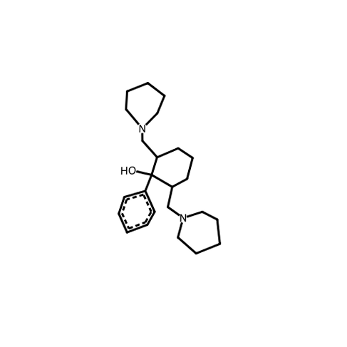 OC1(c2ccccc2)C(CN2CCCCC2)CCCC1CN1CCCCC1